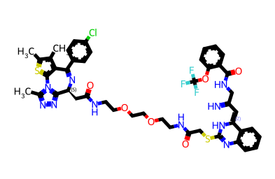 Cc1sc2c(c1C)C(c1ccc(Cl)cc1)=N[C@@H](CC(=O)NCCOCCOCCNC(=O)CSC1=Nc3ccccc3/C(=C/C(=N)CNC(=O)c3ccccc3OC(F)(F)F)N1)c1nnc(C)n1-2